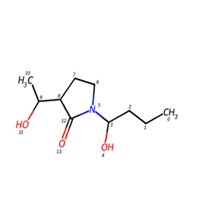 CCCC(O)N1CCC(C(C)O)C1=O